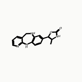 CC1NC(=O)OC1c1ccc2c(c1)NCc1cccnc1N2